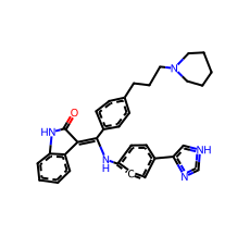 O=C1Nc2ccccc2C1=C(Nc1ccc(-c2c[nH]cn2)cc1)c1ccc(CCCN2CCCCC2)cc1